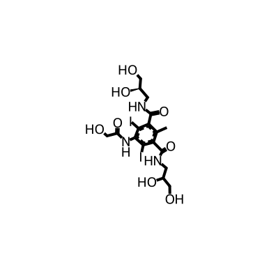 Cc1c(C(=O)NCC(O)CO)c(I)c(NC(=O)CO)c(I)c1C(=O)NC[C@@H](O)CO